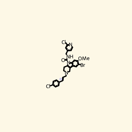 COc1cc2c(cc1Br)c1c(n2C(=O)NCc2ccnc(Cl)c2)CCN(C/C=C/c2ccc(Cl)cc2)C1